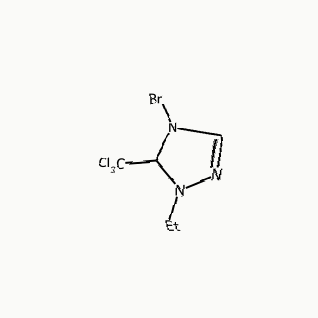 CCN1N=CN(Br)C1C(Cl)(Cl)Cl